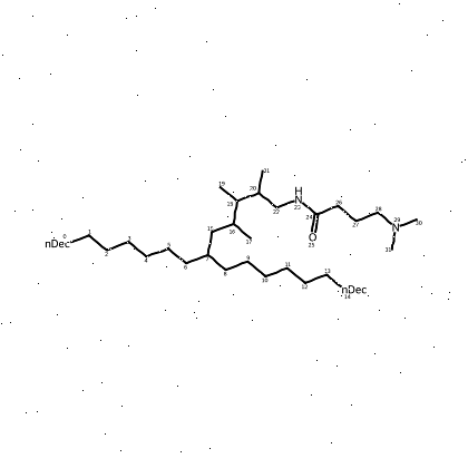 CCCCCCCCCCCCCCCCC(CCCCCCCCCCCCCCCC)CC(C)C(C)C(C)CNC(=O)CCCN(C)C